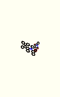 c1ccc(C2(c3ccccc3)c3ccccc3-c3c2cc(N(c2cccc4c2-c2ccccc2C42c4ccccc4-n4c5ccccc5c5cccc2c54)c2cc4ccccc4c4ccccc24)c2ccccc32)cc1